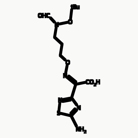 CC(C)(C)ON(C=O)CCCON=C(C(=O)O)c1nsc(N)n1